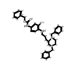 O=C(Nc1ccc(NCCCC2CN(Cc3ccccc3)CCN2Cc2ccccc2)c(F)c1)OCc1ccccc1